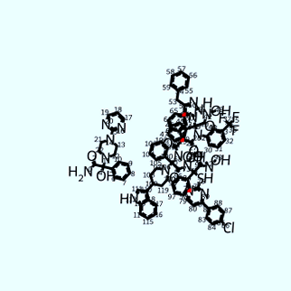 NC(=O)C(O)(c1ccccc1)N1CCN(c2ncccn2)CC1.O=C(C(C(=O)N(c1cccc(C(F)(F)F)c1)C(C(=O)NO)(c1ccccc1)n1cc(Cc2ccccc2)nn1)c1ccccc1)N(O)C(C(=O)N(O)C(Sc1nccc(-c2ccc(Cl)cc2)n1)(C(=O)NO)c1ccccc1)(c1ccccc1)N1CCC(c2c[nH]c3ccccc23)CC1